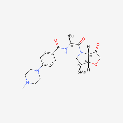 CS[C@H]1CN(C(=O)[C@@H](NC(=O)c2ccc(N3CCN(C)CC3)cc2)C(C)(C)C)[C@@H]2C(=O)CO[C@H]12